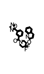 O=C(c1cccc(-c2ncno2)c1)N1CCC(F)(F)[C@@H](Oc2ccc3ccccc3n2)C1